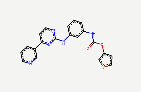 O=C(Nc1cccc(Nc2nccc(-c3cccnc3)n2)c1)Oc1ccsc1